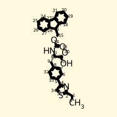 CCc1nc(-c2ccc(C[C@H](NC(=O)OCC3c4ccccc4-c4ccccc43)C(=O)O)cc2)cs1